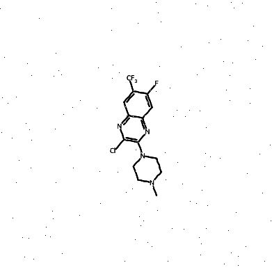 CN1CCN(c2nc3cc(F)c(C(F)(F)F)cc3nc2Cl)CC1